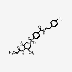 C=CC(=O)NC1C(C)CN(S(=O)(=O)c2ccc(C(=O)NCCc3ccc(C(F)(F)F)cc3)cc2)CC1C